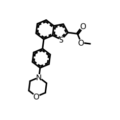 COC(=O)c1cc2cccc(-c3ccc(N4CCOCC4)cc3)c2s1